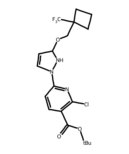 CC(C)(C)OC(=O)c1ccc(N2C=CC(OCC3(C(F)(F)F)CCC3)N2)nc1Cl